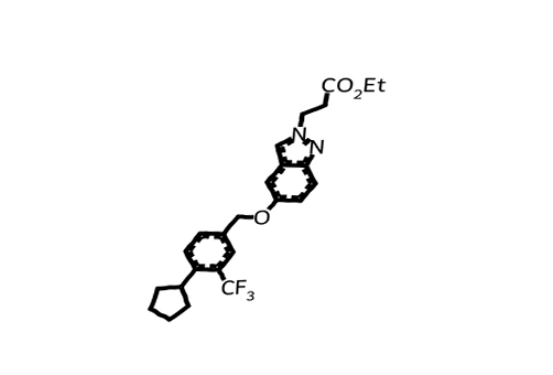 CCOC(=O)CCn1cc2cc(OCc3ccc(C4CCCC4)c(C(F)(F)F)c3)ccc2n1